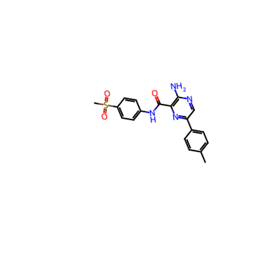 Cc1ccc(-c2cnc(N)c(C(=O)Nc3ccc(S(C)(=O)=O)cc3)n2)cc1